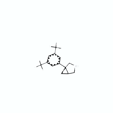 FC(F)(F)c1cc(C(F)(F)F)cc(C23CNCC2C3)c1